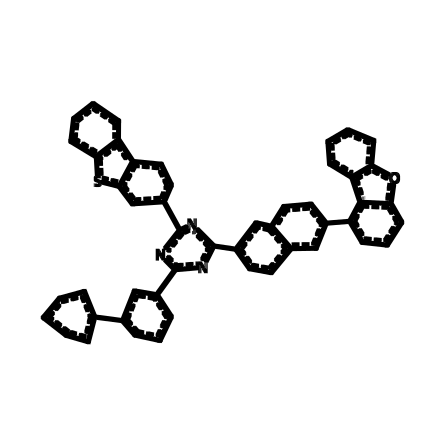 c1ccc(-c2cccc(-c3nc(-c4ccc5cc(-c6cccc7oc8ccccc8c67)ccc5c4)nc(-c4ccc5c(c4)sc4ccccc45)n3)c2)cc1